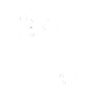 CC(=O)N[C@@H]1C[C@H]2CC[C@@H](C1)N2Cc1ccc2cc(Oc3ccc(-c4ccn[nH]4)cc3)ccc2n1